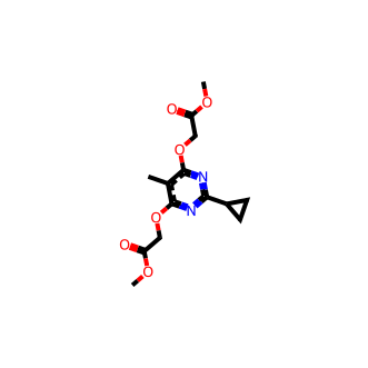 COC(=O)COc1nc(C2CC2)nc(OCC(=O)OC)c1C